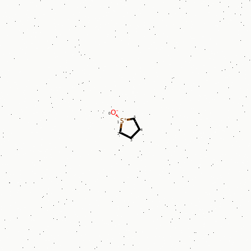 [O-][S@@+]1C[CH]CC1